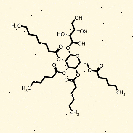 CCCCCCCC(=O)O[C@@H]1[C@H](OC(O)[C@H](O)[C@@H](O)CO)O[C@H](COC(=O)CCCCC)[C@@H](OC(=O)CCCCC)[C@@H]1OC(=O)CCCCC